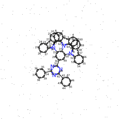 Cc1cccc2c3cccc(C)c3n(-c3c(-n4c5ccccc5c5ccccc54)cc(-c4nc(-c5ccccc5)nc(-c5ccccc5)n4)cc3-n3c4ccccc4c4ccccc43)c12